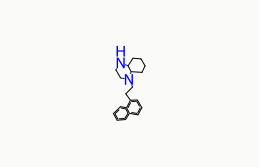 c1ccc2c(CCN3CCNC4CCCCC43)cccc2c1